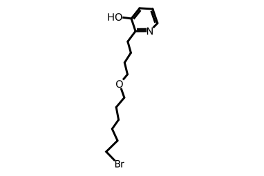 Oc1cccnc1CCCCOCCCCCCBr